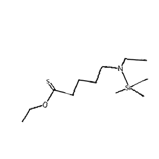 CCOC(=S)CCCCN(CC)[Si](C)(C)C